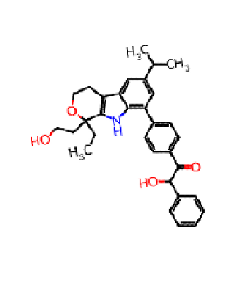 CCC1(CCO)OCCc2c1[nH]c1c(-c3ccc(C(=O)C(O)c4ccccc4)cc3)cc(C(C)C)cc21